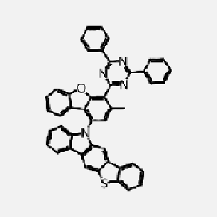 Cc1cc(-n2c3ccccc3c3cc4sc5ccccc5c4cc32)c2c(oc3ccccc32)c1-c1nc(-c2ccccc2)nc(-c2ccccc2)n1